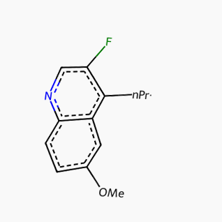 CC[CH]c1c(F)cnc2ccc(OC)cc12